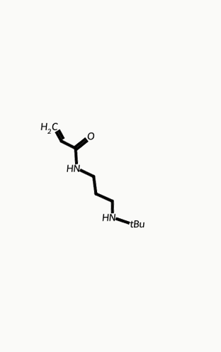 C=CC(=O)NCCCNC(C)(C)C